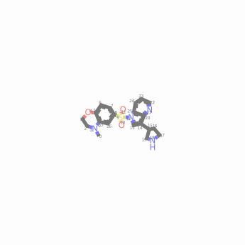 CN1CCOc2ccc(S(=O)(=O)n3cc(C4CCNC4)c4ncccc43)cc21